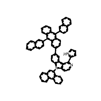 c1c[nH]c(-c2nccc3c2c2cc(-c4ccc5c(-c6ccc7ccccc7c6)c6ccccc6c(-c6ccc7ccccc7c6)c5c4)ccc2n3-c2cc3ccccc3c3ccccc23)c1